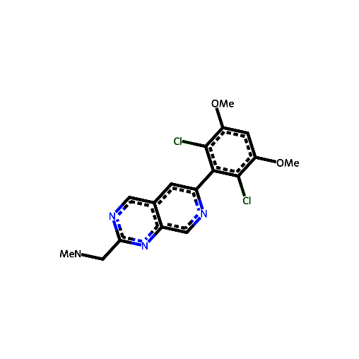 CNCc1ncc2cc(-c3c(Cl)c(OC)cc(OC)c3Cl)ncc2n1